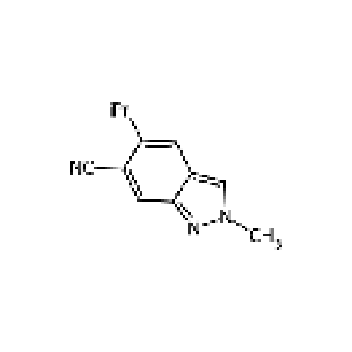 CC(C)c1cc2cn(C)nc2cc1C#N